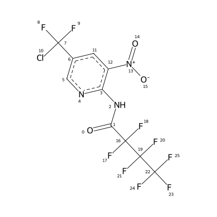 O=C(Nc1ncc(C(F)(F)Cl)cc1[N+](=O)[O-])C(F)(F)C(F)(F)C(F)(F)F